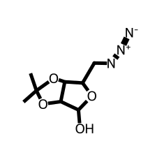 CC1(C)OC2C(O)OC(CN=[N+]=[N-])C2O1